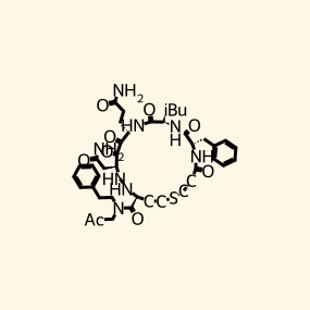 CC[C@H](C)[C@@H]1NC(=O)[C@H](Cc2ccccc2)NC(=O)CCSCC[C@@H](C(=O)N(CCc2ccccc2)CC(C)=O)NN[C@@H](CC(N)=O)C(=O)C(=O)[C@H](CCC(N)=O)NC1=O